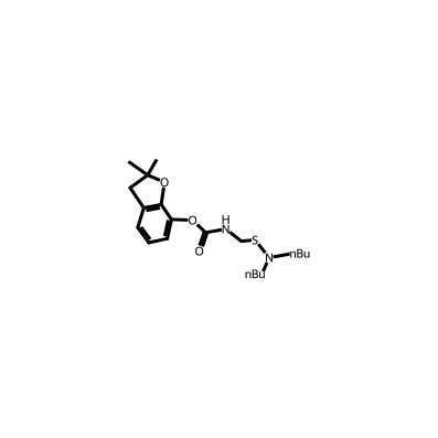 CCCCN(CCCC)SCNC(=O)Oc1cccc2c1OC(C)(C)C2